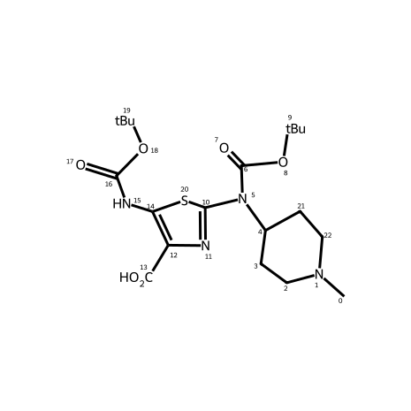 CN1CCC(N(C(=O)OC(C)(C)C)c2nc(C(=O)O)c(NC(=O)OC(C)(C)C)s2)CC1